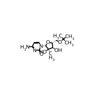 CC(C)(C)OC[C@H]1O[C@@H](n2ccc(N)nc2=O)[C@](C)(O)[C@@H]1O